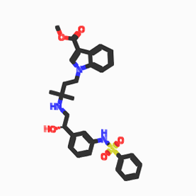 COC(=O)c1cn(CCC(C)(C)NC[C@@H](O)c2cccc(NS(=O)(=O)c3ccccc3)c2)c2ccccc12